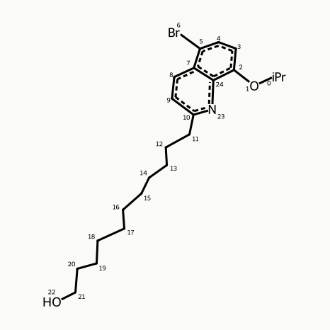 CC(C)Oc1ccc(Br)c2ccc(CCCCCCCCCCCO)nc12